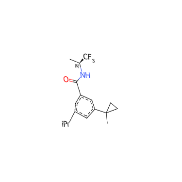 CC(C)c1cc(C(=O)N[C@@H](C)C(F)(F)F)cc(C2(C)CC2)c1